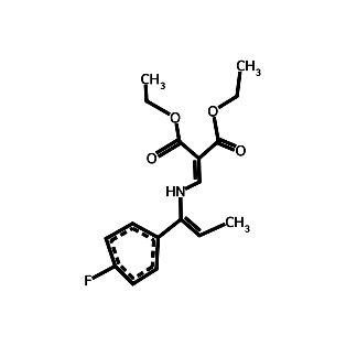 CC=C(NC=C(C(=O)OCC)C(=O)OCC)c1ccc(F)cc1